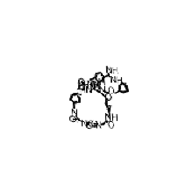 N=C(N)c1ccc(CNC(=O)[C@@H]2Cc3ccc(cc3)NC(=O)CN3CCN(CC3)CC(=O)Nc3ccc(cc3)C[C@@H](NC(=O)OCc3ccccc3)C(=O)N2)cc1